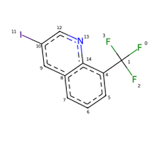 FC(F)(F)c1cccc2cc(I)cnc12